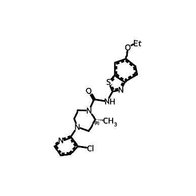 CCOc1ccc2nc(NC(=O)N3CCN(c4ncccc4Cl)C[C@H]3C)sc2c1